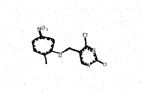 Cc1ccc([N+](=O)[O-])cc1NCc1cnc(Cl)nc1Cl